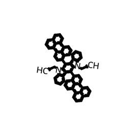 C#CCn1c2ccccc2c2c(-c3ccc4c5cccc6cccc(c7cccc3c74)c65)c3c(c(-c4ccc5c6cccc7cccc(c8cccc4c85)c76)c21)c1ccccc1n3CC#C